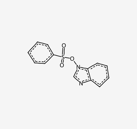 O=S(=O)(On1cnc2ccccc21)c1ccccc1